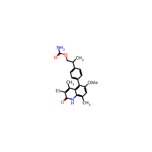 CCc1c(C)c2c(-c3ccc(C(C)COC(N)=O)cc3)c(OC)cc(C)c2[nH]c1=O